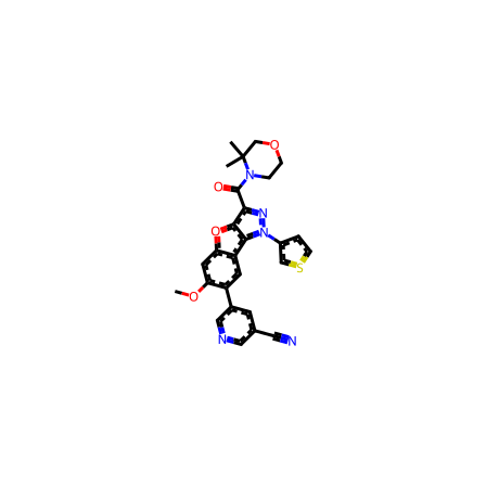 COc1cc2oc3c(C(=O)N4CCOCC4(C)C)nn(-c4ccsc4)c3c2cc1-c1cncc(C#N)c1